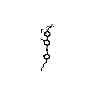 CCCCCc1ccc(C#Cc2ccc(-c3ccc(SC#N)c(F)c3)c(F)c2)cc1